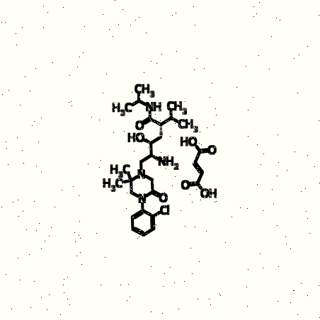 CC(C)NC(=O)[C@@H](C[C@H](O)[C@@H](N)CN1CC(=O)N(c2ccccc2Cl)CC1(C)C)C(C)C.O=C(O)C=CC(=O)O